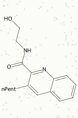 CCCCCc1cc2ccccc2nc1C(=O)NCCO